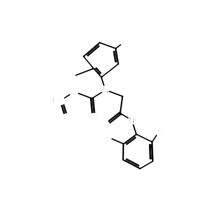 Cc1ccc(Cl)cc1N(CC(=O)Nc1c(F)cccc1F)C(=O)O[SH](=O)=O